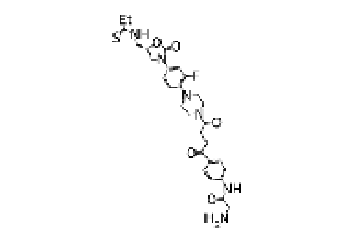 CCC(=S)NC[C@@H]1CN(c2ccc(N3CCN(C(=O)CCC(=O)c4ccc(NC(=O)CN)cc4)CC3)c(F)c2)C(=O)O1